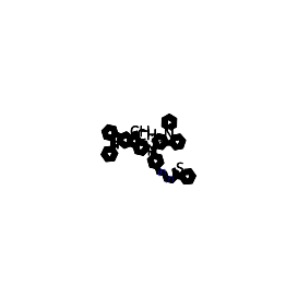 CC1(C)c2cc(N(c3ccc(/C=C/C=C\c4csc5ccccc45)cc3)c3ccc4c(c3)c3ccccc3n4-c3ccccc3)ccc2-c2cc3c(cc21)c1ccccc1n3-c1ccccc1